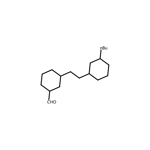 CCCCC1CCCC(CCC2CCCC(C=O)C2)C1